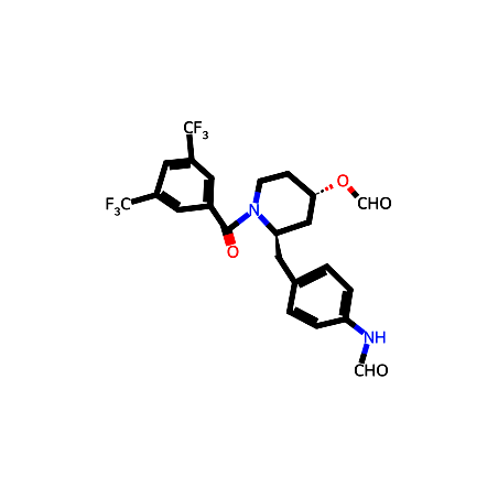 O=CNc1ccc(C[C@@H]2C[C@@H](OC=O)CCN2C(=O)c2cc(C(F)(F)F)cc(C(F)(F)F)c2)cc1